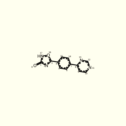 O=c1nc(-c2ccc(-c3ccncn3)cc2)o[nH]1